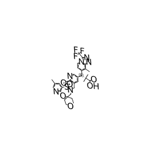 Cc1cnc2c(c1)S(=O)(=O)N(Cc1cc([C@H](c3ccn4c(C(F)(F)F)nnc4c3C)C(C)(C)C(=O)O)cnc1C)CC1(CCOCC1)O2